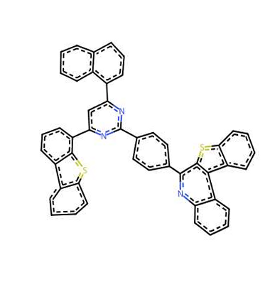 c1ccc2c(-c3cc(-c4cccc5c4sc4ccccc45)nc(-c4ccc(-c5nc6ccccc6c6c5sc5ccccc56)cc4)n3)cccc2c1